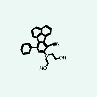 N#Cc1c(N(CCO)CCO)cc(-c2ccccc2)c2c1-c1cccc3cccc-2c13